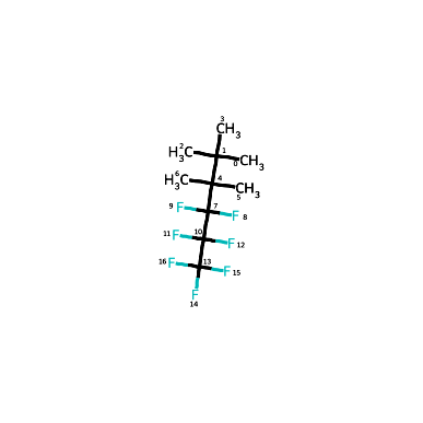 CC(C)(C)C(C)(C)C(F)(F)C(F)(F)C(F)(F)F